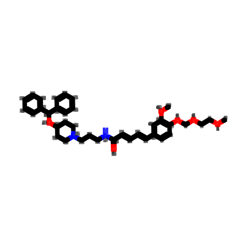 COCCOCOc1ccc(C=CC=CC(=O)NCCCN2CCC(OC(c3ccccc3)c3ccccc3)CC2)cc1OC